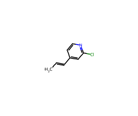 [CH2]C=Cc1ccnc(Cl)c1